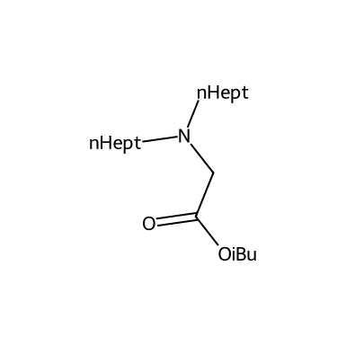 CCCCCCCN(CCCCCCC)CC(=O)OCC(C)C